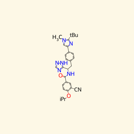 CC(C)Oc1ccc(C(=O)NC(Cc2ccc(-c3cn(C)c(C(C)(C)C)n3)cc2)c2ncn[nH]2)cc1C#N